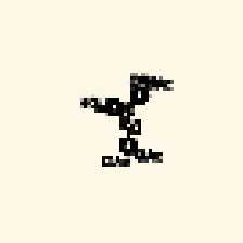 CC(=O)Oc1ccc(C(=O)Cn2cc(-c3ccc(OC(C)=O)c(OC(C)=O)c3)c3ccc(CO)cc32)cc1OC(C)=O